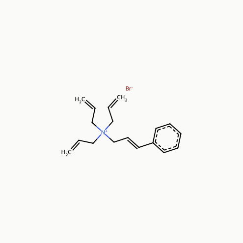 C=CC[N+](CC=C)(CC=C)CC=Cc1ccccc1.[Br-]